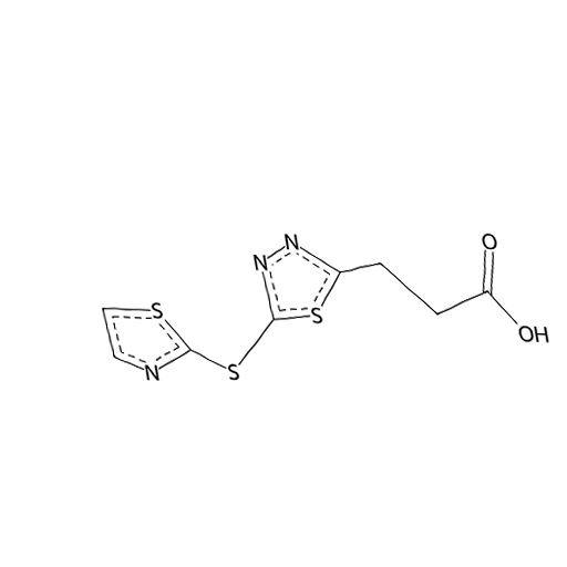 O=C(O)CCc1nnc(Sc2nccs2)s1